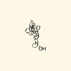 O=S(=O)(c1cccs1)N(CC1CC1)c1cccc2cc(-c3ncc(CN4CCCCC4CO)s3)[nH]c12